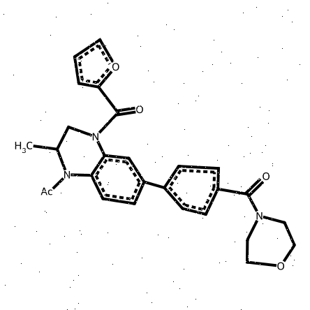 CC(=O)N1c2ccc(-c3ccc(C(=O)N4CCOCC4)cc3)cc2N(C(=O)c2ccco2)CC1C